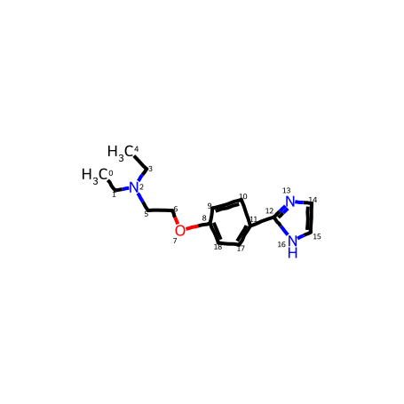 CCN(CC)CCOc1ccc(-c2ncc[nH]2)cc1